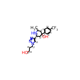 C[C@H]1CC(O)(c2ccc(C(F)(F)F)cc2)C[C@@H](c2cn(CCCO)nn2)N1